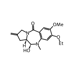 C=C1C[C@H]2[C@H](O)N(C)c3cc(OCC)c(OC)cc3C(=O)N2C1